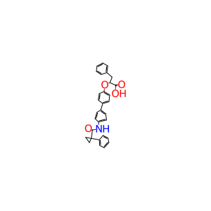 O=C(O)C(Cc1ccccc1)Oc1ccc(-c2ccc(NC(=O)C3(c4ccccc4)CC3)cc2)cc1